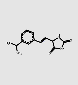 CC(C)c1cccc(/C=C/C2NC(=O)NC2=O)c1